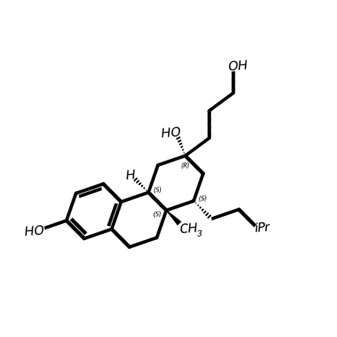 CC(C)CC[C@H]1C[C@](O)(CCCO)C[C@@H]2c3ccc(O)cc3CC[C@@]12C